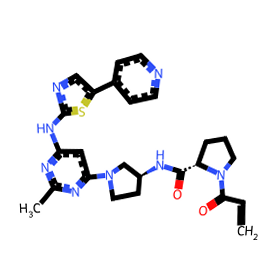 C=CC(=O)N1CCC[C@H]1C(=O)N[C@H]1CCN(c2cc(Nc3ncc(-c4ccncc4)s3)nc(C)n2)C1